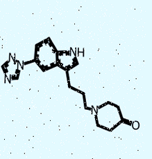 O=C1CCN(CCCc2c[nH]c3ccc(-n4cncn4)cc23)CC1